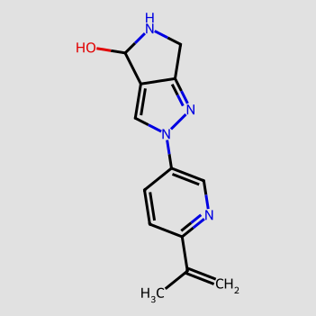 C=C(C)c1ccc(-n2cc3c(n2)CNC3O)cn1